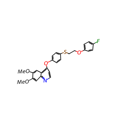 COc1cc2nccc(Oc3ccc(SCCOc4ccc(F)cc4)cc3)c2cc1OC